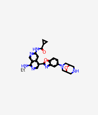 CCNc1ncc(-c2nc3cc(N4CC5CNCC(C4)O5)ccc3o2)c2cc(NC(=O)C3CC3)ncc12